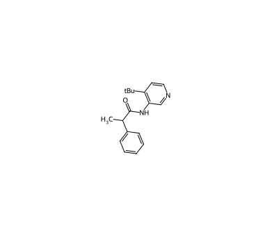 CC(C(=O)Nc1cnccc1C(C)(C)C)c1ccccc1